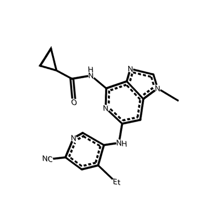 CCc1cc(C#N)ncc1Nc1cc2c(ncn2C)c(NC(=O)C2CC2)n1